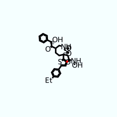 CCc1ccc(-c2ccc(C3(CC(=O)NO)CCC(C(=O)[C@@H](O)c4ccccc4)CNS3(=O)=O)s2)cc1